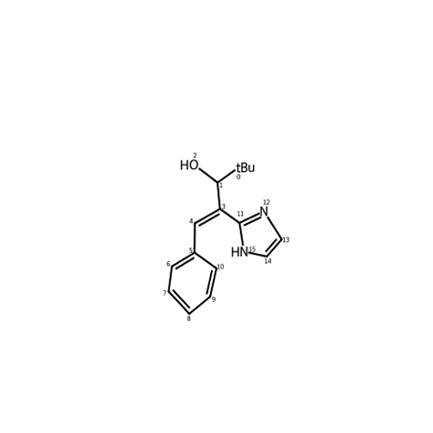 CC(C)(C)C(O)C(=Cc1ccccc1)c1ncc[nH]1